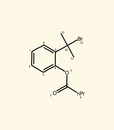 CCCC(=O)Oc1ccccc1C(C)(C)Br